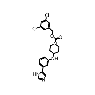 O=C(OCc1cc(Cl)cc(Cl)c1)N1CCC(Nc2cccc(-c3cnc[nH]3)c2)CC1